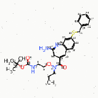 CCCN(OCCNC(=O)OC(C)(C)C)C(=O)C1=Cc2ccc(SCc3ccccc3)cc2N=C(N)C1